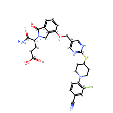 N#Cc1ccc(N2CCC(Sc3ncc(COc4cccc5c4CN([C@@H](CCC(=O)O)C(N)=O)C5=O)cn3)CC2)c(F)c1